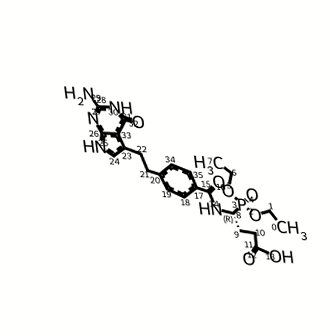 CCOP(=O)(OCC)[C@H](CCC(=O)O)NC(=O)c1ccc(CCc2c[nH]c3nc(N)[nH]c(=O)c23)cc1